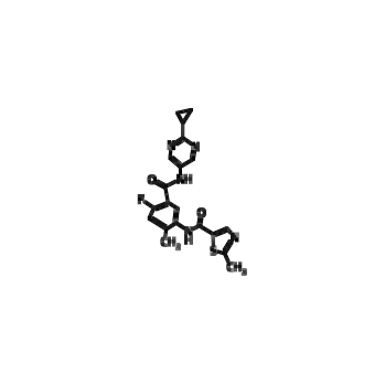 Cc1ncc(C(=O)Nc2cc(C(=O)Nc3cnc(C4CC4)nc3)c(F)cc2C)s1